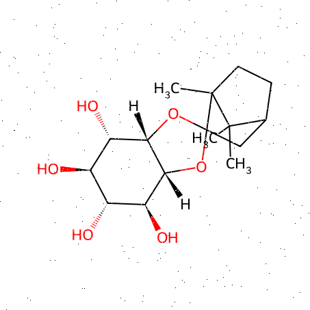 CC1(C)C2CCC1(C)C1(C2)O[C@@H]2[C@@H](O)[C@H](O)[C@@H](O)[C@H](O)[C@@H]2O1